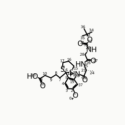 COc1ccc(C2(CCCCC(=O)O)SCCCS2)c(NC(=O)[C@@H](C)NC(=O)CNC(=O)OC(C)(C)C)c1